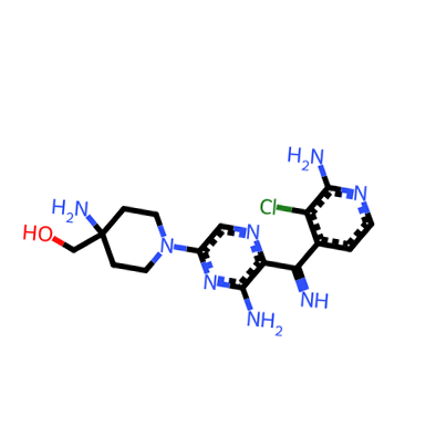 N=C(c1ccnc(N)c1Cl)c1ncc(N2CCC(N)(CO)CC2)nc1N